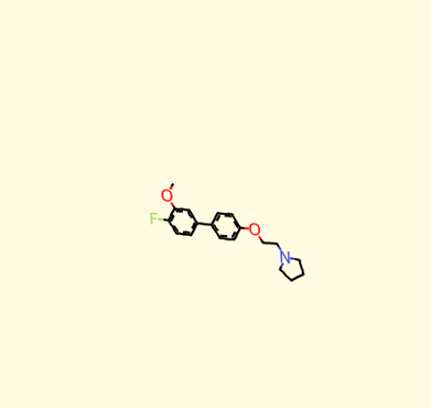 COc1cc(-c2ccc(OCCN3CCCC3)cc2)ccc1F